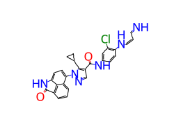 N=C/C=C\Nc1ccc(NC(=O)c2cnn(-c3ccc4c5c(cccc35)C(=O)N4)c2C2CC2)cc1Cl